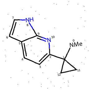 CNC1(c2ccc3cc[nH]c3n2)CC1